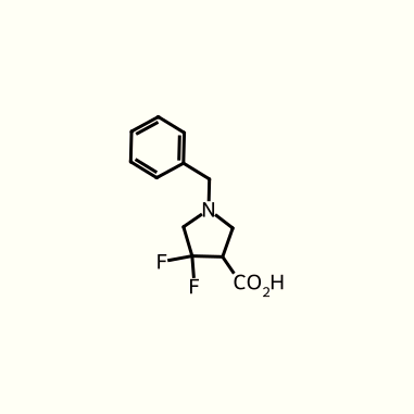 O=C(O)C1CN(Cc2ccccc2)CC1(F)F